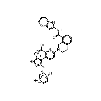 Cc1[nH]nc(C[C@H]2C[C@H]3C=C[C@@H]2C3)c1-c1ccc(N2CCc3cccc(C(=O)Nc4nc5ccccc5s4)c3C2)nc1C(=O)O